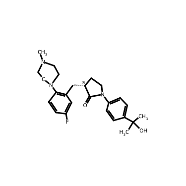 CN1CCN(c2ccc(F)cc2C[C@@H]2CCN(c3ccc(C(C)(C)O)cc3)C2=O)CC1